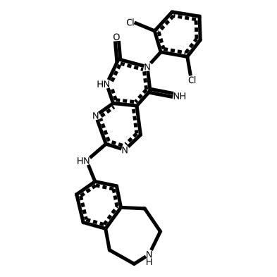 N=c1c2cnc(Nc3ccc4c(c3)CCNCC4)nc2[nH]c(=O)n1-c1c(Cl)cccc1Cl